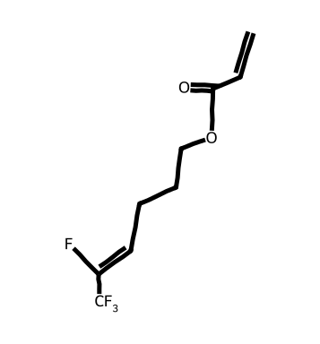 C=CC(=O)OCCCC=C(F)C(F)(F)F